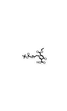 CCOC(=O)c1cc(=O)c(C(=O)O)cn1CCCNC(=O)OC(C)(C)C